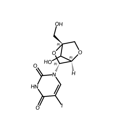 O=c1[nH]c(=O)n([C@@H]2O[C@]3(CO)CO[C@@H]2C3O)cc1I